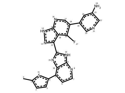 Cc1ccc(-c2ccnc3[nH]c(-c4n[nH]c5ncc(-c6cncc(N)c6)c(F)c45)nc23)s1